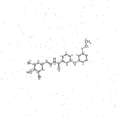 COCc1cccc(Oc2cccc(C(=O)N/N=C/c3cc(Br)c(O)c(Br)c3)c2)c1